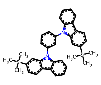 C[Si](C)(C)c1ccc2c3ccccc3n(-c3cccc(-n4c5ccccc5c5ccc([Si](C)(C)C)cc54)c3)c2c1